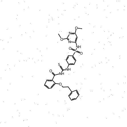 COc1cc(NS(=O)(=O)c2ccc(NC(=S)NC(=O)c3ccccc3OCCc3ccccc3)cc2)nc(OC)n1